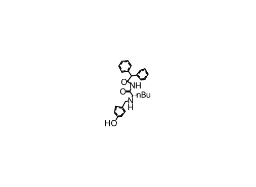 CCCC[C@H](NCc1ccc(O)cc1)C(=O)NC(=O)C(c1ccccc1)c1ccccc1